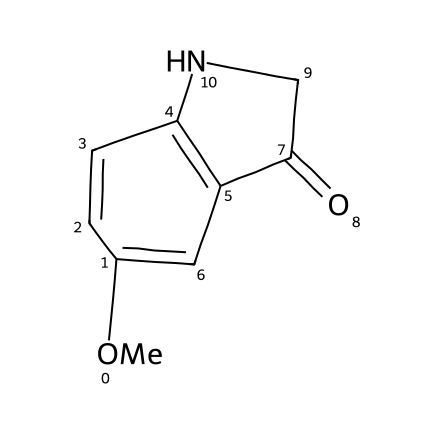 COc1ccc2c(c1)C(=O)CN2